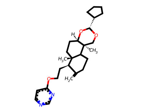 C=C1CCC2[C@]3(C)CO[C@@H](C4CCCC4)O[C@@H]3CC[C@@]2(C)[C@@H]1CCOc1ccncn1